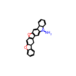 NN1c2cc3c4c(oc3cc2C2C=CC=CC21)C=C1Oc2ccccc2C1C4